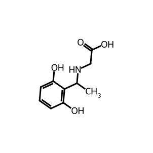 CC(NCC(=O)O)c1c(O)cccc1O